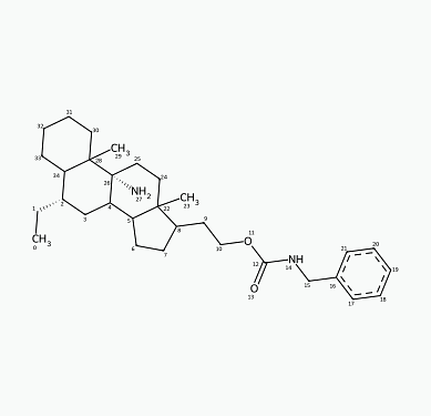 CC[C@H]1CC2C3CCC(CCOC(=O)NCc4ccccc4)C3(C)CC[C@]2(N)C2(C)CCCCC12